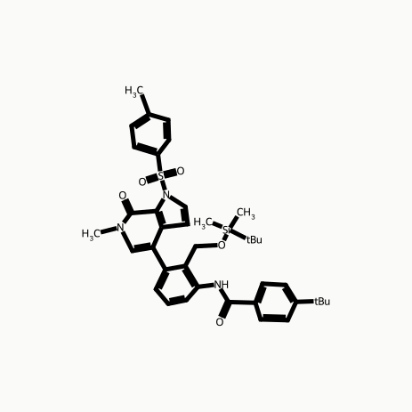 Cc1ccc(S(=O)(=O)n2ccc3c(-c4cccc(NC(=O)c5ccc(C(C)(C)C)cc5)c4CO[Si](C)(C)C(C)(C)C)cn(C)c(=O)c32)cc1